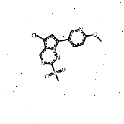 COc1ccc(-c2cc(Cl)c3cnc(S(C)(=O)=O)nn23)cn1